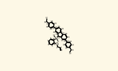 C=CCOc1ccccc1[Si](C)(C)C1c2cc(-c3ccc(CC)cc3)ccc2-c2ccc(-c3ccc(CC)cc3)cc21